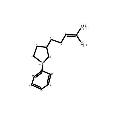 CC(C)=CCCC1CCP(c2ccccc2)C1